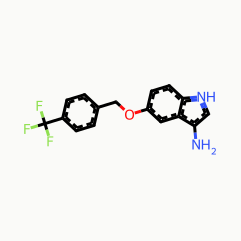 Nc1c[nH]c2ccc(OCc3ccc(C(F)(F)F)cc3)cc12